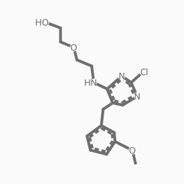 COc1cccc(Cc2cnc(Cl)nc2NCCOCCO)c1